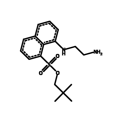 CC(C)(C)COS(=O)(=O)c1cccc2cccc(NCCN)c12